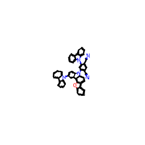 N#Cc1cc(C#N)c(-n2c3ccc(-n4c5ccccc5c5ccccc54)cc3c3c4oc5ccccc5c4ccc32)cc1-n1c2ccccc2c2ccccc21